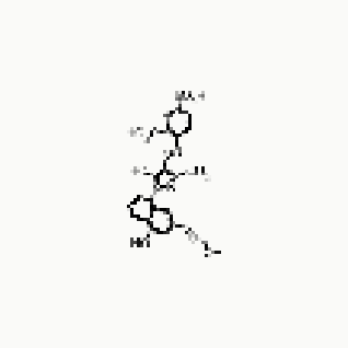 O=C(O)c1cc(S(=O)(=O)O)ccc1/N=N/c1c(C(=O)O)nn(-c2cccc3c(O)cc(SOOO)cc23)c1O